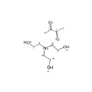 CC(=O)C(C)=O.OCCN(CCO)CCO